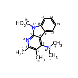 Cc1nc2c(c(N(C)C)c1C)c1ccccc1n2C(=O)O